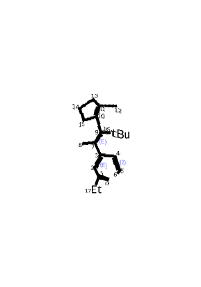 C=C(/C=C(\C=C/C)C(/C)=C(/C1=C(C)CCC1)C(C)(C)C)CC